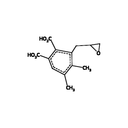 Cc1cc(C(=O)O)c(C(=O)O)c(CC2CO2)c1C